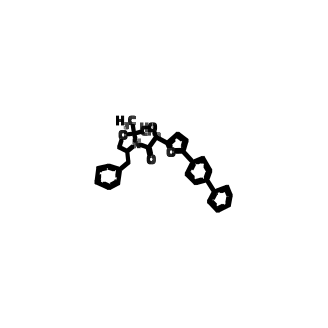 CC1(C)OCC(Cc2ccccc2)N1C(=O)C(O)c1ccc(-c2ccc(-c3ccccc3)cc2)o1